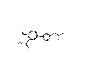 COc1ccc(-c2cc(CN(C)C)on2)cc1C(=O)O